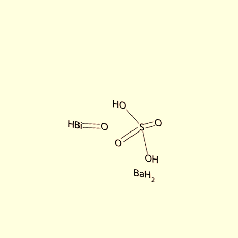 O=S(=O)(O)O.[BaH2].[O]=[BiH]